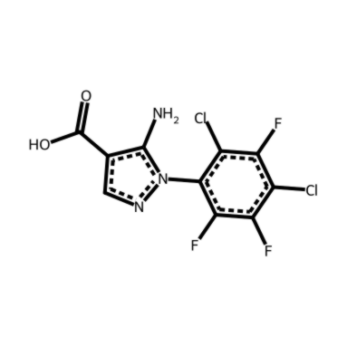 Nc1c(C(=O)O)cnn1-c1c(F)c(F)c(Cl)c(F)c1Cl